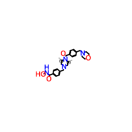 C[C@@H]1CN(Cc2ccc(C(=O)NO)cc2)C[C@H](C)N1C(=O)c1ccc(CN2CCOCC2)cc1